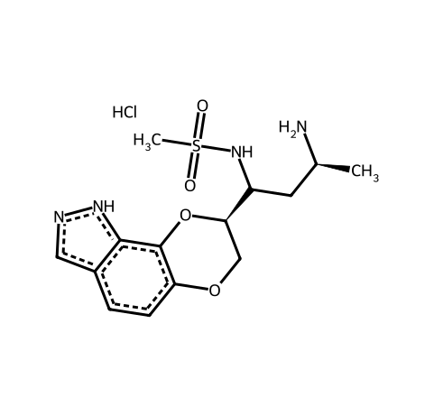 C[C@H](N)CC(NS(C)(=O)=O)[C@H]1COc2ccc3cn[nH]c3c2O1.Cl